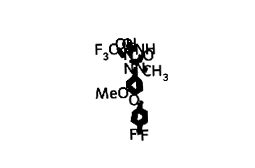 COc1cc(-c2nc3c(c(=O)[nH]c(=O)n3CC(O)C(F)(F)F)n2C)ccc1OCc1ccc(C(F)F)cc1